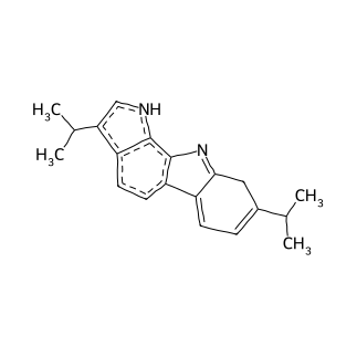 CC(C)C1=CC=C2C(=Nc3c2ccc2c(C(C)C)c[nH]c32)C1